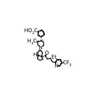 CCc1cc(C(F)(F)F)cnc1CCCC(=O)[C@@]12CCC[C@@H]1C[C@H](N1CC[C@@H](c3cccc(C(=O)O)c3)[C@H](C)C1)C2